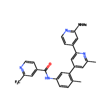 CC(=O)Nc1cc(-c2cc(-c3cc(NC(=O)c4ccnc(C(F)(F)F)c4)ccc3C)cc(C)n2)ccn1